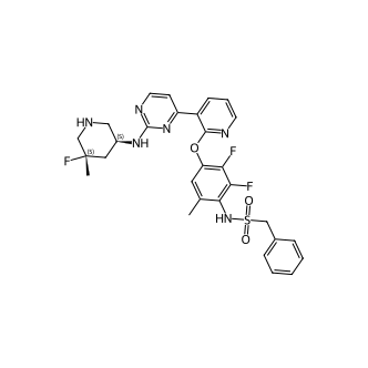 Cc1cc(Oc2ncccc2-c2ccnc(N[C@@H]3CNC[C@@](C)(F)C3)n2)c(F)c(F)c1NS(=O)(=O)Cc1ccccc1